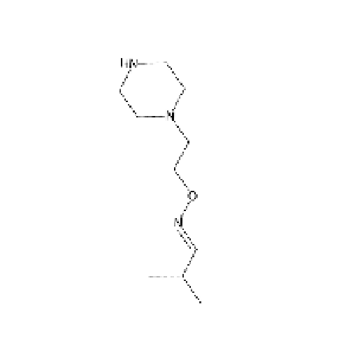 CC(C)/C=N/OCCN1CCNCC1